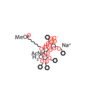 COC(=O)CCCCCCCCO[C@@H]1O[C@H](COCc2ccccc2)[C@@H](O[C@@H]2O[C@H](COCc3ccccc3)C[C@H](OS(=O)(=O)[O-])[C@H]2O)[C@H](O[C@@H]2O[C@@H](C)[C@@H](OCc3ccccc3)[C@@H](OCc3ccccc3)[C@@H]2OCc2ccccc2)[C@H]1NC(C)=O.[Na+]